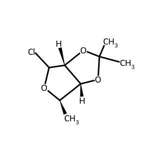 C[C@H]1OC(Cl)[C@@H]2OC(C)(C)O[C@H]12